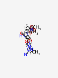 Cc1cc(C#N)nc(N2CCN(S(=O)(=O)c3ccc4c(c3)NC(=O)CN4C(=O)c3ccccc3N(C)S(C)(=O)=O)CC2)n1